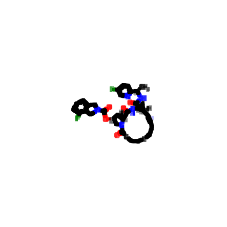 C[C@H](NC(=O)[C@@]12C[C@H]1/C=C\CCCCCCC(=O)N1C[C@H](OC(=O)N3Cc4cccc(F)c4C3)C[C@H]1C(=O)N2)c1ccc(F)cn1